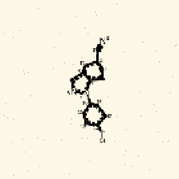 N#Cc1ccc2c(cnn2-c2ccc(F)cc2)c1